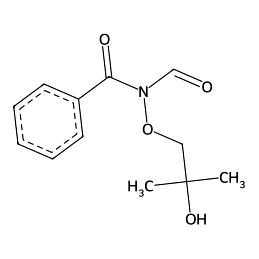 CC(C)(O)CON(C=O)C(=O)c1ccccc1